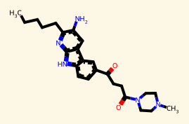 CCCCCc1nc2[nH]c3ccc(C(=O)CCC(=O)N4CCN(C)CC4)cc3c2cc1N